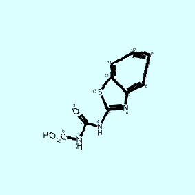 O=C(O)NC(=O)Nc1nc2ccccc2s1